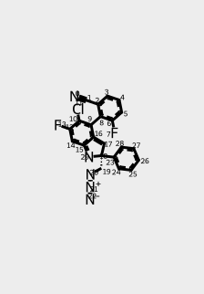 N#Cc1cccc(F)c1-c1c(Cl)c(F)cc2c1=C[C@@](CN=[N+]=[N-])(c1ccccc1)N=2